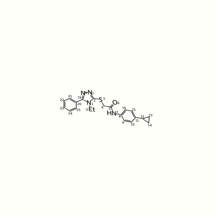 CCn1c(SCC(=O)Nc2ccc(C3CC3)cc2)nnc1-c1ccccc1